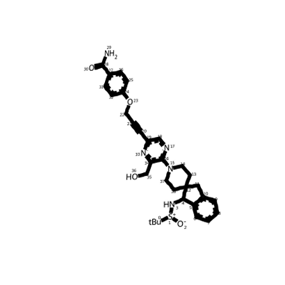 CC(C)(C)[S+]([O-])NC1c2ccccc2CC12CCN(c1ncc(C#CCOc3ccc(C(N)=O)cc3)nc1CO)CC2